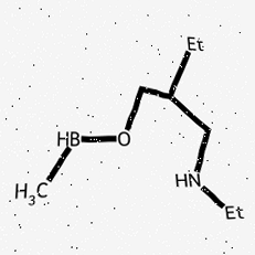 CBOCC(CC)CNCC